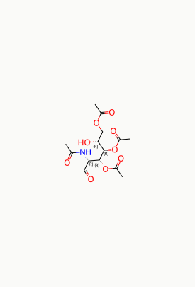 CC(=O)N[C@@H](C=O)[C@@H](OC(C)=O)[C@H](OC(C)=O)[C@H](O)COC(C)=O